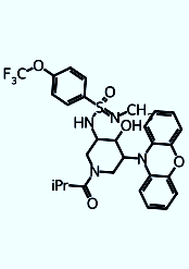 CN=S(=O)(NC1CN(C(=O)C(C)C)CC(N2c3ccccc3Oc3ccccc32)C1O)c1ccc(OC(F)(F)F)cc1